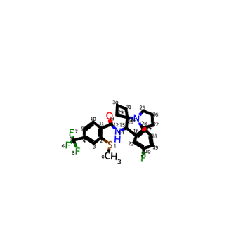 CSc1cc(C(F)(F)F)ccc1C(=O)NC(c1cccc(F)c1)C1(N2CCCC2)CCC1